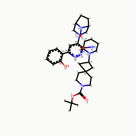 CC(C)(C)OC(=O)N1CCC2(CC1)CC(N1CCC[C@@H](CN3C4CCC3CN(c3cc(-c5ccccc5O)nnc3N)C4)C1)C2